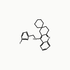 Fc1cccc(CNc2c3c(nc4ccccc24)CCC2(CCCCC2)C3)c1